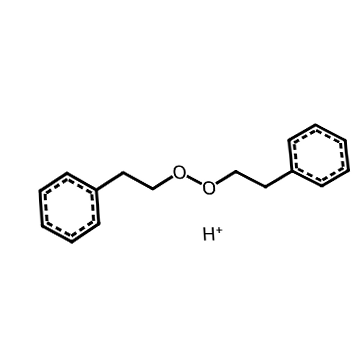 [H+].c1ccc(CCOOCCc2ccccc2)cc1